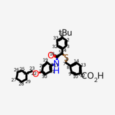 CC(C)(C)c1ccc(C(SCc2ccc(C(=O)O)cc2)C(=O)Nc2ccc(OCC3CCCCC3)cc2)cc1